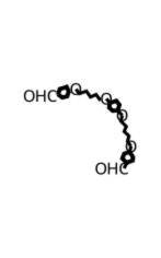 O=Cc1ccc(OCCCCCOc2ccc(OCCCCCOc3ccc(C=O)cc3)cc2)cc1